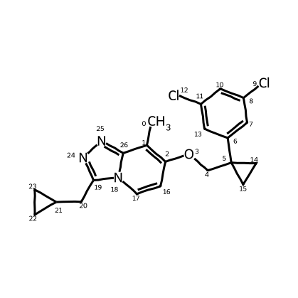 Cc1c(OCC2(c3cc(Cl)cc(Cl)c3)CC2)ccn2c(CC3CC3)nnc12